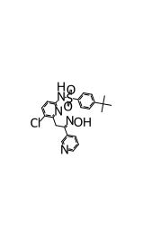 CC(C)(C)c1ccc(S(=O)(=O)Nc2ccc(Cl)c(C/C(=N/O)c3cccnc3)n2)cc1